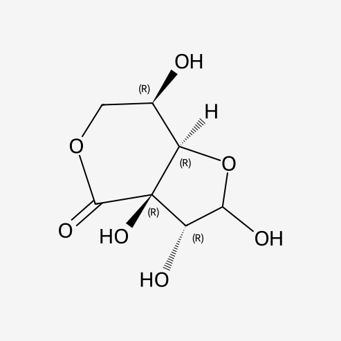 O=C1OC[C@@H](O)[C@H]2OC(O)[C@H](O)[C@]12O